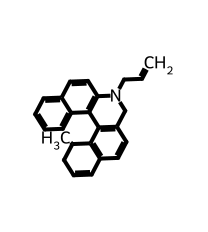 C=CCN1Cc2ccc3c(c2-c2c1ccc1ccccc21)C(C)CC=C3